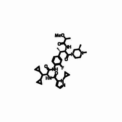 CO[C@@H](C)C(=O)N[C@@H](C(=O)N1CCN(C)[C@H](C)C1)[C@@H](C)c1ccc(NC(=O)[C@@H](NC(=O)c2ccnn2C2CC2)C(C2CC2)C2CC2)c(F)c1